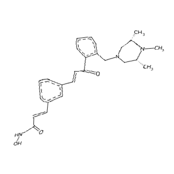 C[C@@H]1CN(Cc2ccccc2C(=O)C=Cc2cccc(C=CC(=O)NO)c2)C[C@H](C)N1C